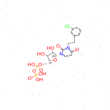 O=c1ccn([C@@H]2O[C@H](COP(=O)(O)OP(=O)(O)O)C(O)C2O)c(=O)n1CCc1cccc(Cl)c1